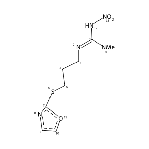 CN/C(=N\CCCSc1ncco1)N[N+](=O)[O-]